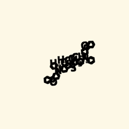 CC1(C)c2cc(N(c3ccccc3)c3ccc4oc5ccccc5c4c3)ccc2-c2sc3c(c21)C(C)(C)c1cc(N(c2ccccc2)c2ccc4oc5ccccc5c4c2)ccc1-3